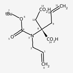 C=CCN(C(=O)OC(C)(C)C)[C@@](CC=C)(CC(=O)O)C(=O)O